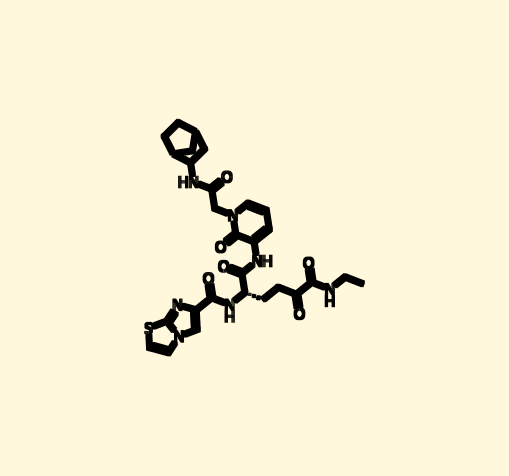 CCNC(=O)C(=O)CC[C@H](NC(=O)c1cn2ccsc2n1)C(=O)Nc1cccn(CC(=O)NC2CC3CCC2C3)c1=O